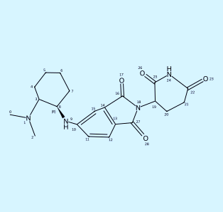 CN(C)C1CCCC[C@H]1Nc1ccc2c(c1)C(=O)N(C1CCC(=O)NC1=O)C2=O